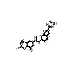 FC(F)Oc1c(Br)cc(NCc2ccc3cc(-c4nn[nH]n4)oc3c2)cc1Br